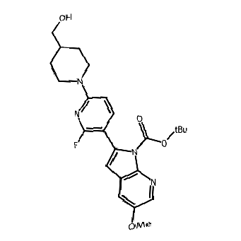 COc1cnc2c(c1)cc(-c1ccc(N3CCC(CO)CC3)nc1F)n2C(=O)OC(C)(C)C